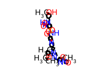 COc1cc(CN2CCN([C@@H]3CC4(CCN(c5ccc(C(=O)NS(=O)(=O)c6ccc(NCC7CCC(C)(O)CC7)c([N+](=O)[O-])c6)cc5)CC4)[C@H]3C)[C@@H](c3ccccc3OC(C)C)C2)cnc1N1CCOCC1